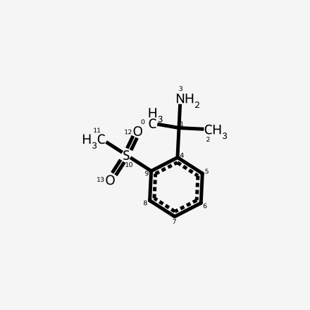 CC(C)(N)c1ccccc1S(C)(=O)=O